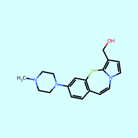 CN1CCN(c2ccc3c(c2)Sc2c(CO)ccn2C=C3)CC1